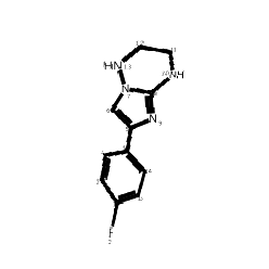 Fc1ccc(-c2cn3c(n2)NCCN3)cc1